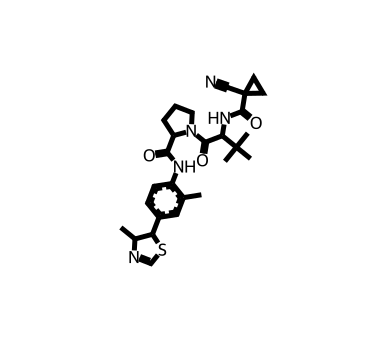 Cc1cc(C2SC=NC2C)ccc1NC(=O)C1CCCN1C(=O)C(NC(=O)C1(C#N)CC1)C(C)(C)C